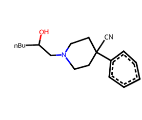 CCCCC(O)CN1CCC(C#N)(c2ccccc2)CC1